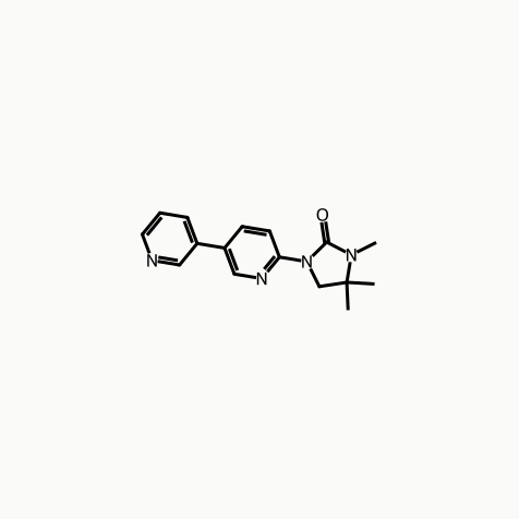 CN1C(=O)N(c2ccc(-c3cccnc3)cn2)CC1(C)C